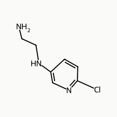 NCCNc1ccc(Cl)nc1